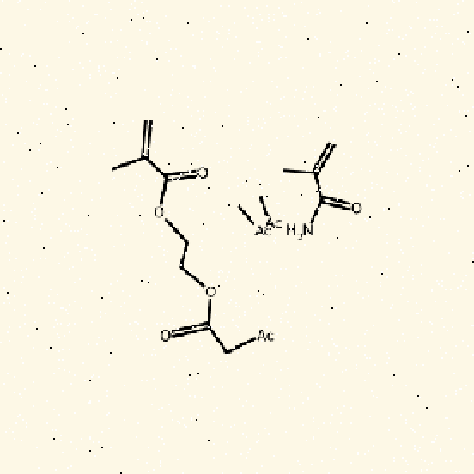 C=C(C)C(=O)OCCOC(=O)CC(C)=O.C=C(C)C(N)=O.CC(C)=O.CC(C)=O